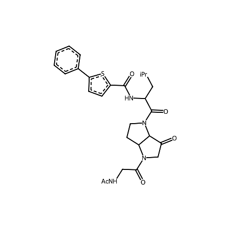 CC(=O)NCC(=O)N1CC(=O)C2C1CCN2C(=O)C(CC(C)C)NC(=O)c1ccc(-c2ccccc2)s1